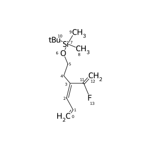 C=C/C=C(/CCO[Si](C)(C)C(C)(C)C)C(=C)F